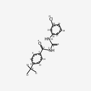 C=C(NC(=O)c1ccc(C(C)(C)C)cc1)Nc1cccc(Cl)c1